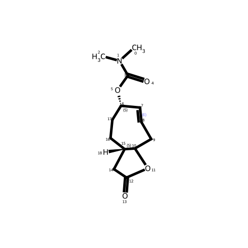 CN(C)C(=O)O[C@@H]1/C=C/CC2OC(=O)C[C@@H]2CC1